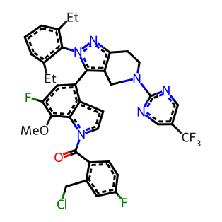 CCc1cccc(CC)c1-n1nc2c(c1-c1cc(F)c(OC)c3c1ccn3C(=O)c1ccc(F)cc1CCl)CN(c1ncc(C(F)(F)F)cn1)CC2